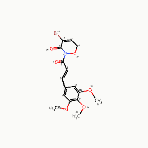 COc1cc(/C=C/C(=O)N2OCC=C(Br)C2=O)cc(OC)c1OC